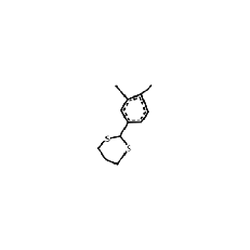 Cc1ccc(C2SCCCS2)cc1C